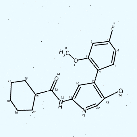 COc1cc(F)ccc1-c1cc(NC(=O)C2CCCCC2)ncc1Cl